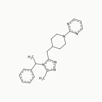 Cc1nnc(CC2CCN(c3ncccn3)CC2)n1C(C)c1ccccc1